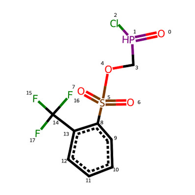 O=[PH](Cl)COS(=O)(=O)c1ccccc1C(F)(F)F